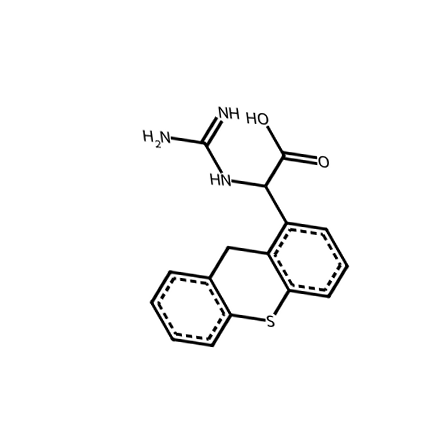 N=C(N)NC(C(=O)O)c1cccc2c1Cc1ccccc1S2